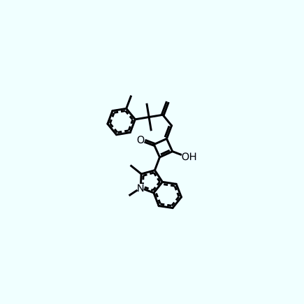 C=C(/C=C1\C(=O)C(c2c(C)n(C)c3ccccc23)=C1O)C(C)(C)c1ccccc1C